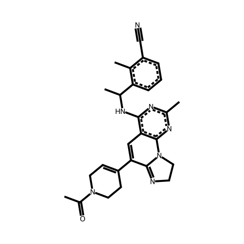 CC(=O)N1CC=C(C2=Cc3c(NC(C)c4cccc(C#N)c4C)nc(C)nc3N3CCN=C23)CC1